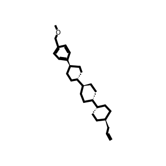 C=CC[C@H]1CC[C@H]([C@H]2CC[C@H]([C@H]3CC[C@H](c4ccc(COC)cc4)CC3)CC2)CC1